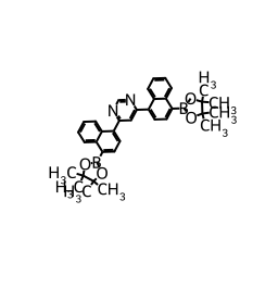 CC1(C)OB(c2ccc(-c3cc(-c4ccc(B5OC(C)(C)C(C)(C)O5)c5ccccc45)ncn3)c3ccccc23)OC1(C)C